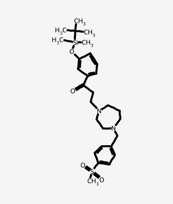 CC(C)(C)[Si](C)(C)Oc1cccc(C(=O)CCN2CCCN(Cc3ccc(S(C)(=O)=O)cc3)CC2)c1